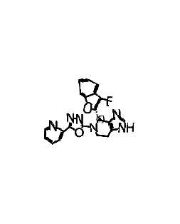 Fc1c([C@@H]2c3nc[nH]c3CCN2c2nnc(-c3ccccn3)o2)oc2ccccc12